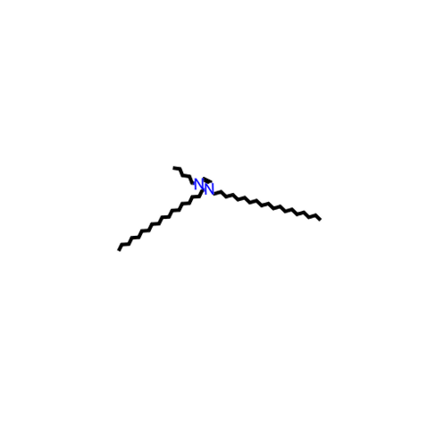 CCCCCCCCCCCCCCCCCCCN1C=CN(CCCCC)C1CCCCCCCCCCCCCCCCC